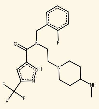 CNC1CCN(CCN(Cc2ccccc2F)C(=O)c2cc(C(F)(F)F)n[nH]2)CC1